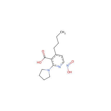 CCCCc1ccnc(N2CCCC2)c1C(=O)O.O=NO